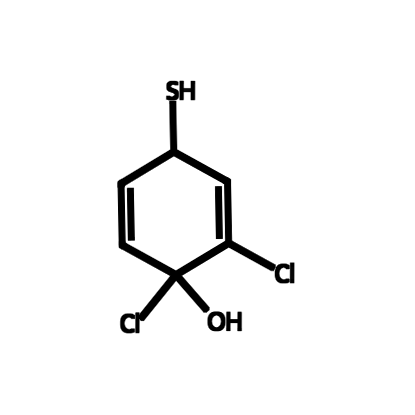 OC1(Cl)C=CC(S)C=C1Cl